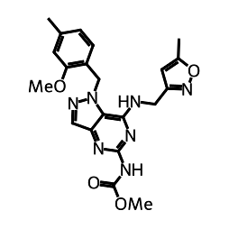 COC(=O)Nc1nc(NCc2cc(C)on2)c2c(cnn2Cc2ccc(C)cc2OC)n1